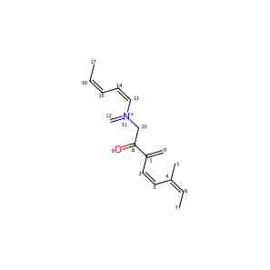 C=C(/C=C\C(C)=C/C)C(=O)C[N+](=C)/C=C\C=C/C